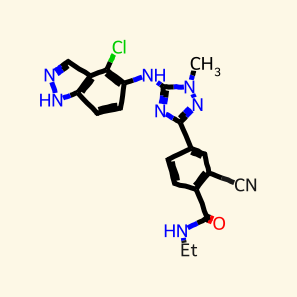 CCNC(=O)c1ccc(-c2nc(Nc3ccc4[nH]ncc4c3Cl)n(C)n2)cc1C#N